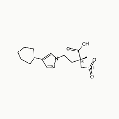 C[C@](CCn1cc(C2CCCCC2)cn1)(C[SH](=O)=O)C(=O)O